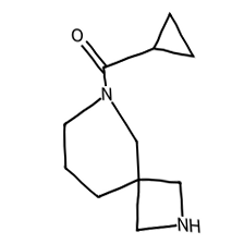 O=C(C1CC1)N1CCCC2(CNC2)C1